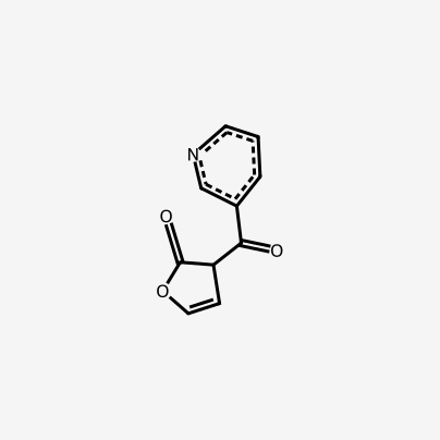 O=C1OC=CC1C(=O)c1cccnc1